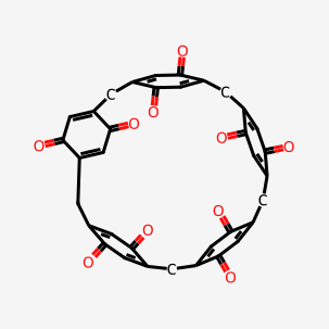 O=C1C=C2CC3=CC(=O)C(=CC3=O)CC3=CC(=O)C(=CC3=O)CC3=CC(=O)C(=CC3=O)CC3=CC(=O)C(=CC3=O)CC1=CC2=O